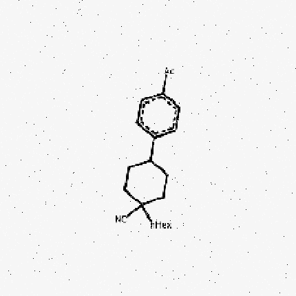 CCCCCCC1(C#N)CCC(c2ccc(C(C)=O)cc2)CC1